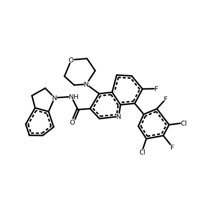 O=C(NN1CCc2ccccc21)c1cnc2c(-c3cc(Cl)c(F)c(Cl)c3F)c(F)ccc2c1N1CCOCC1